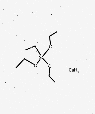 CCO[Si](CC)(OCC)OCC.[CaH2]